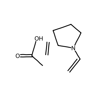 C=C.C=CN1CCCC1.CC(=O)O